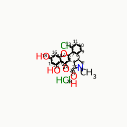 CN1CC[C@@H](c2c(-c3ccccc3Cl)oc3cc(O)cc(O)c3c2=O)[C@@H]1CO.Cl